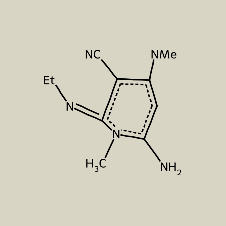 CCN=c1c(C#N)c(NC)cc(N)n1C